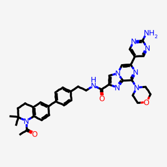 CC(=O)N1c2ccc(-c3ccc(CCNC(=O)c4cn5cc(-c6cnc(N)nc6)nc(N6CCOCC6)c5n4)cc3)cc2CCC1(C)C